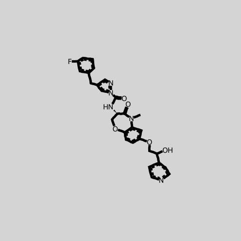 CN1C(=O)[C@@H](NC(=O)n2cc(Cc3cccc(F)c3)cn2)COc2ccc(OCC(O)c3ccncc3)cc21